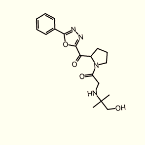 CC(C)(CO)NCC(=O)N1CCCC1C(=O)c1nnc(-c2ccccc2)o1